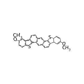 COC1=CC2c3ccc4cc5c(ccc6c7cc(OC)ccc7sc56)cc4c3SC2C=C1